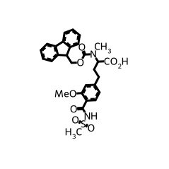 COc1cc(CCC(C(=O)O)N(C)C(=O)OCC2c3ccccc3-c3ccccc32)ccc1C(=O)NS(C)(=O)=O